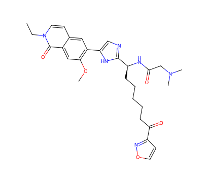 CCn1ccc2cc(-c3cnc([C@H](CCCCCC(=O)c4ccon4)NC(=O)CN(C)C)[nH]3)c(OC)cc2c1=O